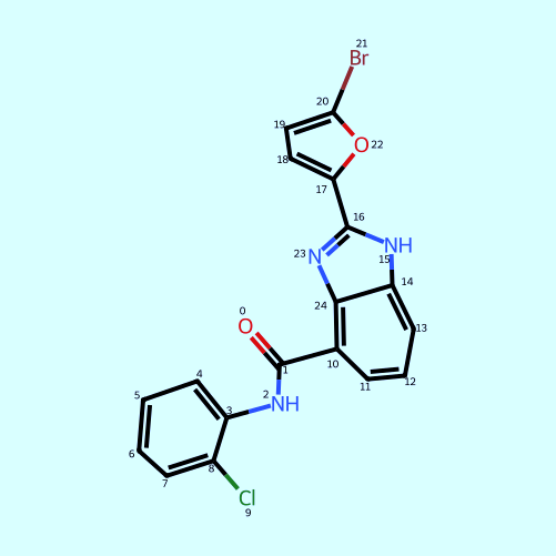 O=C(Nc1ccccc1Cl)c1cccc2[nH]c(-c3ccc(Br)o3)nc12